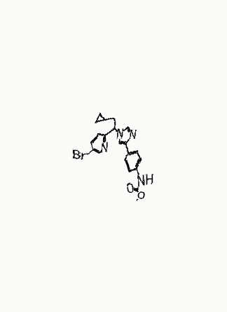 COC(=O)Nc1ccc(-c2cn(C(CC3CC3)c3ccc(Br)cn3)cn2)cc1